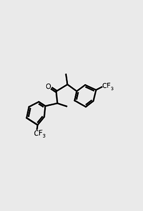 CC(C(=O)C(C)c1cccc(C(F)(F)F)c1)c1cccc(C(F)(F)F)c1